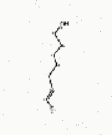 CCC=CCCCCCO